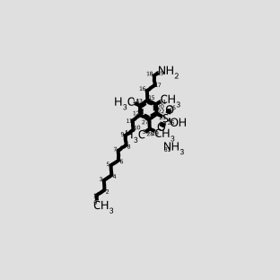 CCCCCCCCCCCCc1c(C)c(CCCN)c(C)c(S(=O)(=O)O)c1C(C)C.N